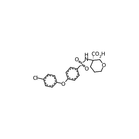 O=C(O)[C@@]1(NS(=O)(=O)c2ccc(Oc3ccc(Cl)cc3)cc2)CCCOC1